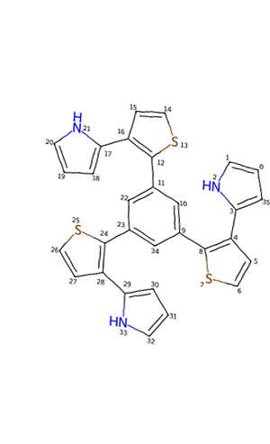 c1c[nH]c(-c2ccsc2-c2cc(-c3sccc3-c3ccc[nH]3)cc(-c3sccc3-c3ccc[nH]3)c2)c1